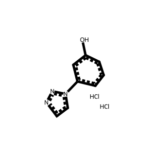 Cl.Cl.Oc1cccc(-n2ccnn2)c1